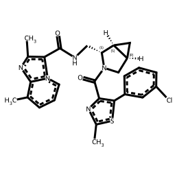 Cc1nc(C(=O)N2C[C@@H]3C[C@@H]3[C@H]2CNC(=O)c2c(C)nc3c(C)cccn23)c(-c2cccc(Cl)c2)s1